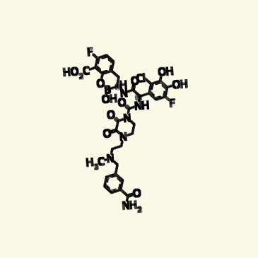 CN(CCN1CCN(C(=O)N[C@@H](C(=O)N[C@H]2Cc3ccc(F)c(C(=O)O)c3OB2O)c2cc(F)c(O)c(O)c2Cl)C(=O)C1=O)Cc1cccc(C(N)=O)c1